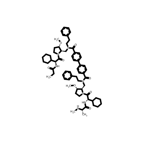 CCC(=O)N[C@H](C(=O)N1CC[C@H](OC)[C@H]1CN(CCc1ccccc1)C(=O)c1ccc(-c2ccc(C(=O)N(CCc3ccccc3)C[C@@H]3[C@@H](OC)CCN3C(=O)[C@@H](NC(=O)[C@H](C)NC)C3CCCCC3)cc2)cc1)C1CCCCC1